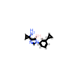 Bc1c(C2(N)CC2)ncn1-c1cccc(C2CC2)c1